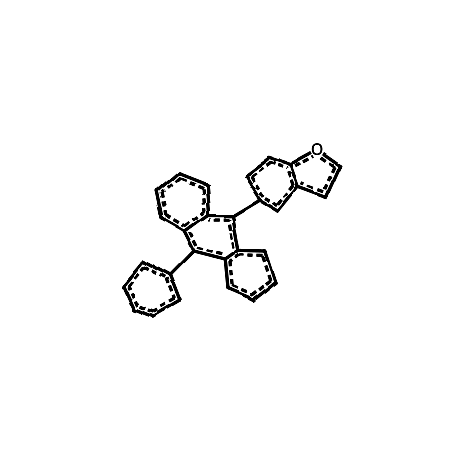 c1ccc(-c2c3ccccc3c(-c3ccc4occc4c3)c3ccccc23)cc1